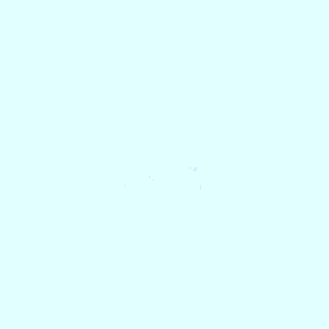 CC(C)C(C=NO)NC(=O)O